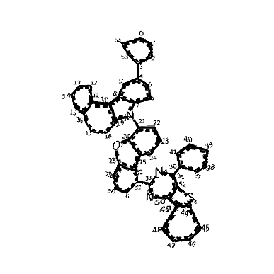 c1ccc(-c2ccc3c(c2)c2c4ccccc4ccc2n3-c2cccc3c2oc2cccc(-c4nc(-c5ccccc5)c5sc6ccccc6c5n4)c23)cc1